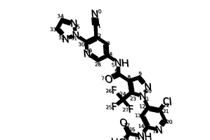 N#Cc1cc(NC(=O)c2cnn(-c3cc(NC(=O)O)ncc3Cl)c2C(F)(F)F)cnc1-n1nccn1